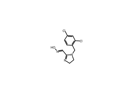 ON=CC1=NCCN1Cc1ccc(Cl)cc1Cl